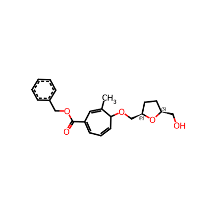 CC1=CC(C(=O)OCc2ccccc2)=CC=CC1OC[C@H]1CC[C@@H](CO)O1